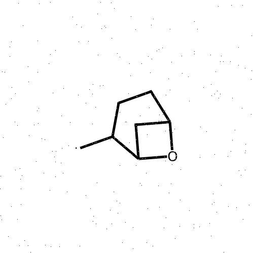 [CH2]C1CCC2CC1O2